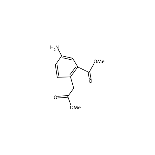 COC(=O)Cc1ccc(N)cc1C(=O)OC